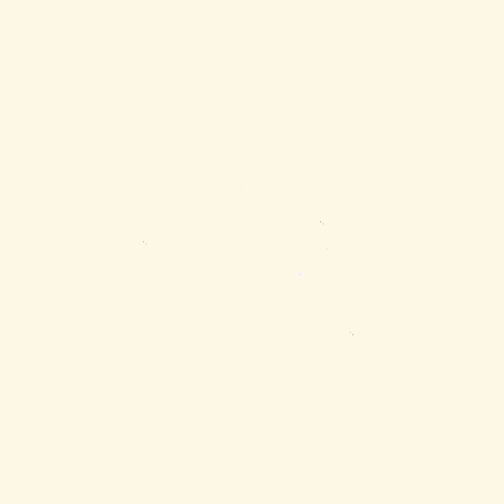 Cc1cc(/C(O)=C2\C(=O)Nc3cc(Cl)c(-c4ccc(N5CCCC5)cc4)cc32)on1